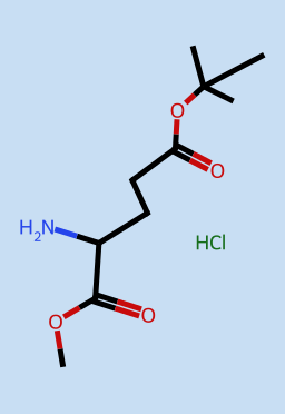 COC(=O)C(N)CCC(=O)OC(C)(C)C.Cl